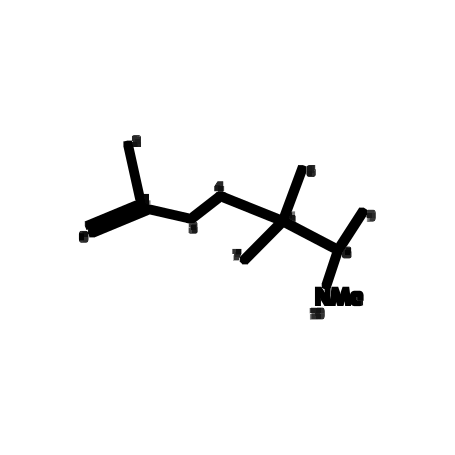 C=C(C)CCC(C)(C)C(C)NC